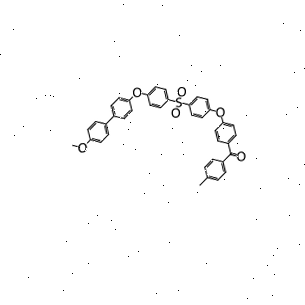 COc1ccc(-c2ccc(Oc3ccc(S(=O)(=O)c4ccc(Oc5ccc(C(=O)c6ccc(C)cc6)cc5)cc4)cc3)cc2)cc1